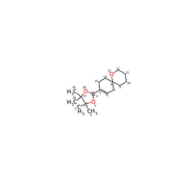 CC1(C)OB(C2=CCC3(CCCCO3)CC2)OC1(C)C